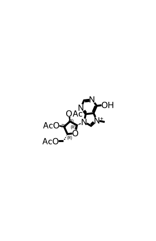 CC(=O)OC[C@H]1O[C@@H](n2c[n+](C)c3c(O)ncnc32)[C@H](OC(C)=O)[C@@H]1OC(C)=O